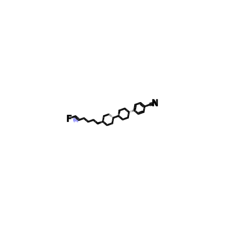 N#Cc1ccc([C@H]2CC[C@H]([C@H]3CC[C@H](CCCC/C=C/F)CC3)CC2)cc1